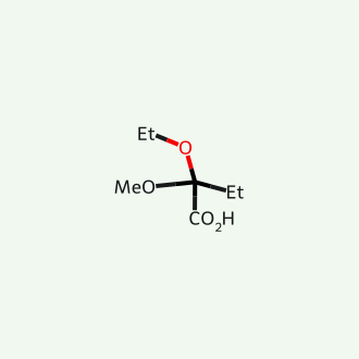 CCOC(CC)(OC)C(=O)O